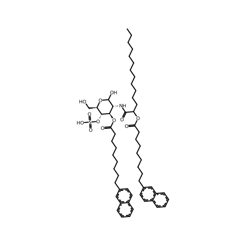 CCCCCCCCCCCCC(OC(=O)CCCCCCCCc1ccc2ccccc2c1)C(=O)N[C@H]1C(O)O[C@H](CO)[C@@H](OS(=O)(=O)O)[C@@H]1OC(=O)CCCCCCCCc1ccc2ccccc2c1